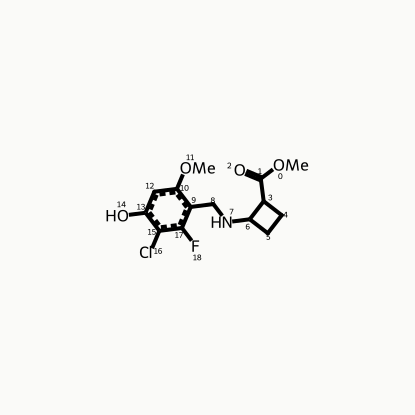 COC(=O)C1CCC1NCc1c(OC)cc(O)c(Cl)c1F